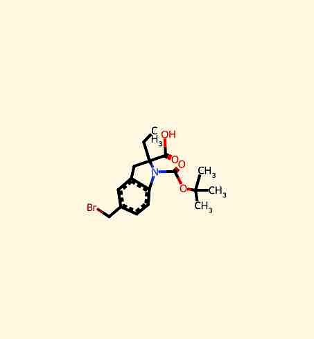 CCC1(C(=O)O)Cc2cc(CBr)ccc2N1C(=O)OC(C)(C)C